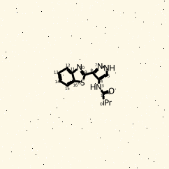 CC(C)C(=O)Nc1c[nH]nc1-c1nc2ccccc2s1